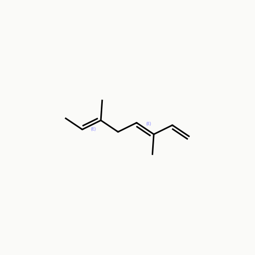 C=C/C(C)=C/C/C(C)=C/C